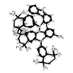 Cc1cc2c3c(c1)N(c1ccc4c(c1)C(C)(C)CCC4(C)C)c1cc4c(cc1B3N(c1ccc3c(c1)C(C)(C)CCC3(C)C)c1c-2ccc2oc3ccccc3c12)C(C)(C)CCC4(C)C